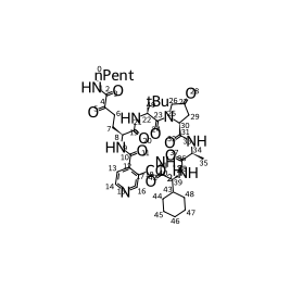 CCCCCNC(=O)C(=O)CC[C@H](NC(=O)c1ccncc1C(=O)O)C(=O)N[C@H](C(=O)N1CC(=O)C[C@H]1C(=O)N[C@@H](C)C(=O)N[C@H](C(N)=O)C1CCCCC1)C(C)(C)C